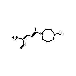 C=N/C(N)=C\C=C(/C)N1CCCC(O)CC1